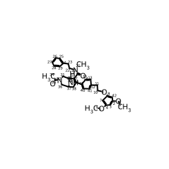 COc1cc(OC)cc(OCCc2ccc(C3=C(C(=O)N(C)CCc4ccccc4)[C@H]4CN(C(C)=O)CC(C3)N4)cc2)c1